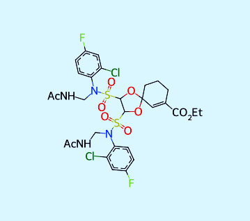 CCOC(=O)C1=CC2(CCC1)OC(S(=O)(=O)N(CNC(C)=O)c1ccc(F)cc1Cl)C(S(=O)(=O)N(CNC(C)=O)c1ccc(F)cc1Cl)O2